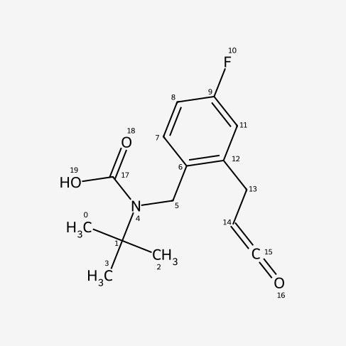 CC(C)(C)N(Cc1ccc(F)cc1CC=C=O)C(=O)O